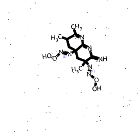 CC1=NC2=NC(=N)C(C)(/N=N/OO)CC2(/N=N/OO)CC1C